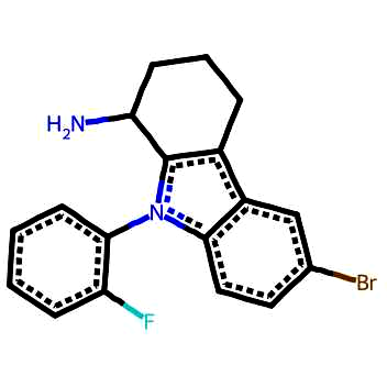 NC1CCCc2c1n(-c1ccccc1F)c1ccc(Br)cc21